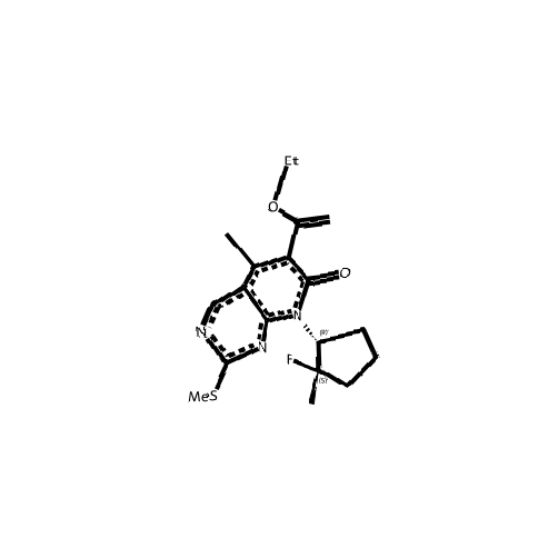 C=C(OCC)c1c(C)c2cnc(SC)nc2n([C@@H]2CCC[C@]2(C)F)c1=O